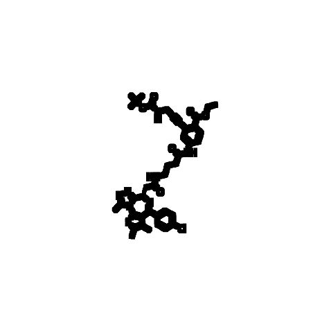 CCOC(=O)c1ccc(NC(=O)CCCNC(=O)C[C@@H]2N=C(c3ccc(Cl)cc3)c3c(sc(C)c3C)-n3c(C)nnc32)cc1C#CCNC(=O)OC(C)(C)C